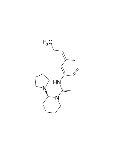 C=C/C(=C\C(C)=C/CC(F)(F)F)NC(=C)N1CCCC[C@H]1N1CCCC1